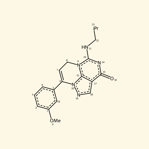 COc1cccc(C2=CCn3c(NCC(C)C)nc(=O)c4cnn2c43)c1